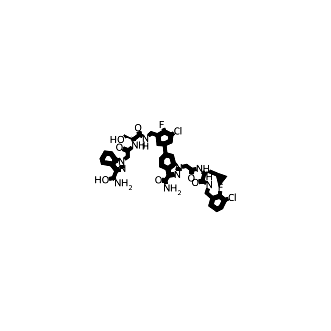 NC(=O)c1nn(CC(=O)N[C@@H](CC2CC2)C(=O)NCc2cccc(Cl)c2F)c2cc(-c3cc(Cl)c(F)c(CNC(=O)[C@H](CO)NC(=O)Cn4nc(C(N)O)c5ccccc54)c3)ccc12